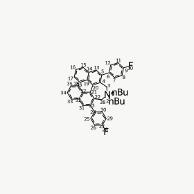 CCCC[N+]1(CCCC)Cc2c(-c3ccc(F)cc3)cc3ccccc3c2-c2c(c(-c3ccc(F)cc3)cc3ccccc23)C1